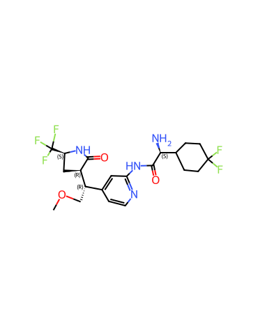 COC[C@@H](c1ccnc(NC(=O)[C@@H](N)C2CCC(F)(F)CC2)c1)[C@H]1C[C@@H](C(F)(F)F)NC1=O